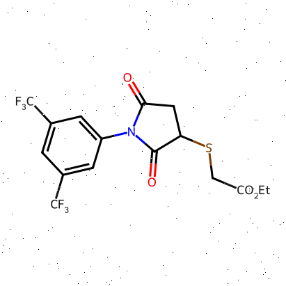 CCOC(=O)CSC1CC(=O)N(c2cc(C(F)(F)F)cc(C(F)(F)F)c2)C1=O